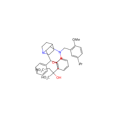 COc1ccc(C(C)C)cc1CN(OC(=O)CC(O)(CC(=O)O)C(=O)O)C1C2CCN(CC2)C1C(c1ccccc1)c1ccccc1